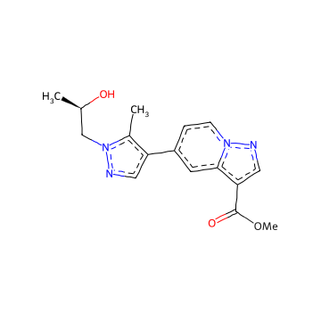 COC(=O)c1cnn2ccc(-c3cnn(C[C@@H](C)O)c3C)cc12